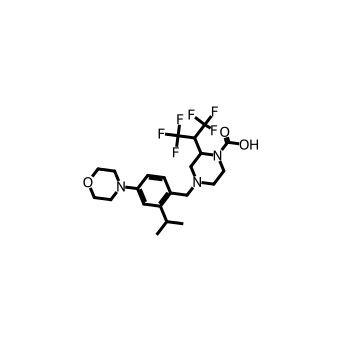 CC(C)c1cc(N2CCOCC2)ccc1CN1CCN(C(=O)O)C(C(C(F)(F)F)C(F)(F)F)C1